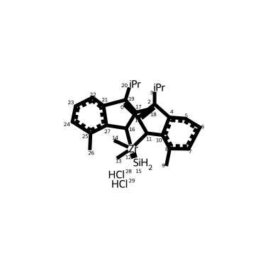 CC1=C(C(C)C)c2cccc(C)c2[CH]1[Zr]([CH3])([CH3])(=[SiH2])[CH]1C(C)=C(C(C)C)c2cccc(C)c21.Cl.Cl